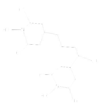 CC(C)C1CC(CCCC(C)C2CC(C(C)C)N(C)C(C(C)C)C2)CC(C(C)C)N1C